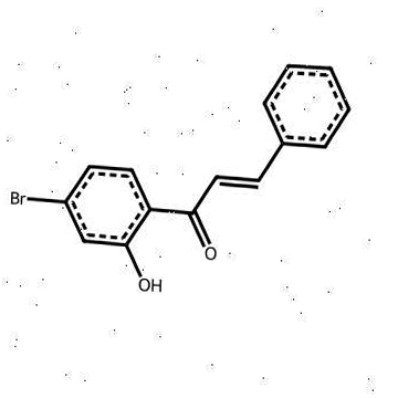 O=C(C=Cc1ccccc1)c1ccc(Br)cc1O